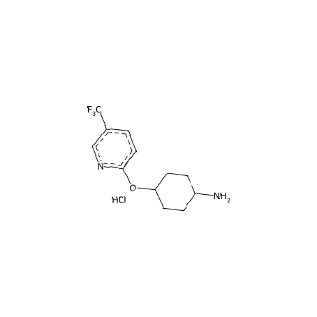 Cl.NC1CCC(Oc2ccc(C(F)(F)F)cn2)CC1